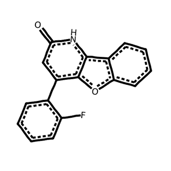 O=c1cc(-c2ccccc2F)c2oc3ccccc3c2[nH]1